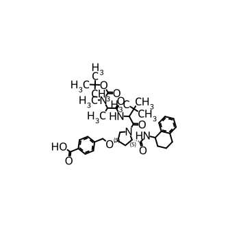 CC(C(=O)NC(C(=O)N1C[C@@H](OCc2ccc(C(=O)O)cc2)C[C@H]1C(=O)NC1CCCc2ccccc21)C(C)(C)C)N(C)C(=O)OC(C)(C)C